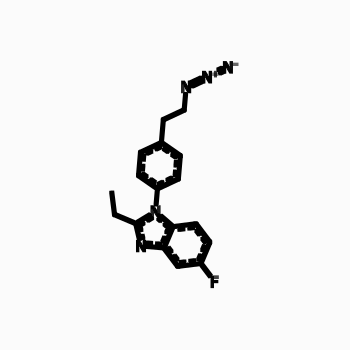 CCc1nc2cc(F)ccc2n1-c1ccc(CCN=[N+]=[N-])cc1